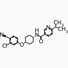 CC(C)c1ccc(C(=O)N[C@H]2CC[C@H](Oc3ccc(C#N)c(Cl)c3)CC2)cn1